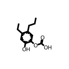 CCCc1cc(OC(=O)O)c(O)cc1CC